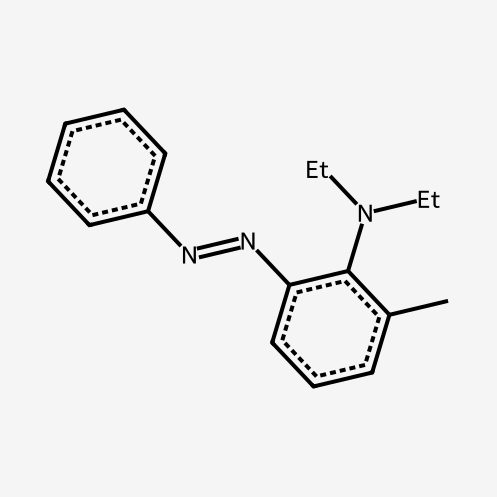 CCN(CC)c1c(C)cccc1/N=N/c1ccccc1